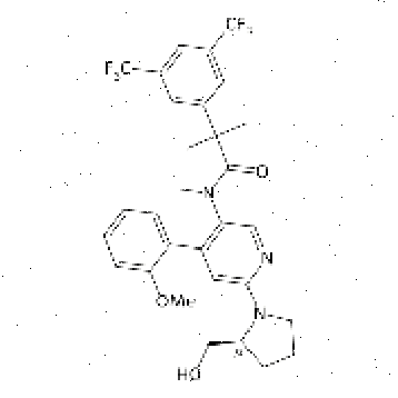 COc1ccccc1-c1cc(N2CCC[C@H]2CO)ncc1N(C)C(=O)C(C)(C)c1cc(C(F)(F)F)cc(C(F)(F)F)c1